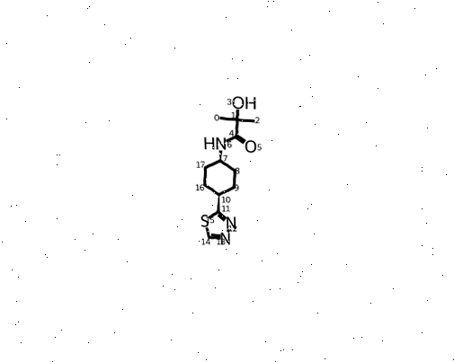 CC(C)(O)C(=O)N[C@H]1CC[C@@H](c2nncs2)CC1